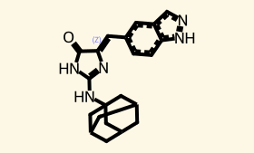 O=C1NC(NC23CC4CC(CC(C4)C2)C3)=N/C1=C\c1ccc2[nH]ncc2c1